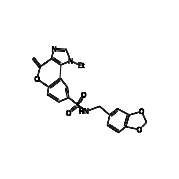 C=C1Oc2ccc(S(=O)(=O)NCc3ccc4c(c3)OCO4)cc2-c2c1ncn2CC